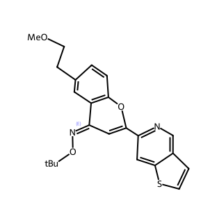 COCCc1ccc2oc(-c3cc4sccc4cn3)c/c(=N\OC(C)(C)C)c2c1